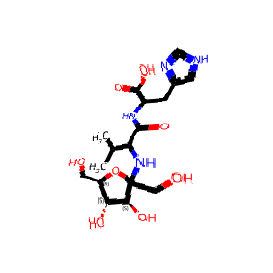 CC(C)C(NC1(CO)O[C@H](CO)[C@@H](O)[C@@H]1O)C(=O)NC(Cc1c[nH]cn1)C(=O)O